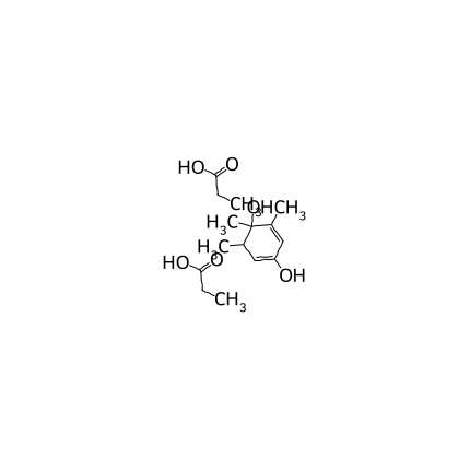 CC1=CC(O)=CC(C)C1(C)O.CCC(=O)O.CCC(=O)O